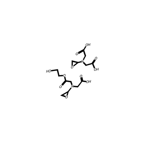 O=C(O)CN(CC(=O)O)C1CO1.O=C(O)CN(CC(=O)OCCO)C1CO1